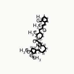 CCc1ccccc1/C=C(\C)C(=O)CC1CCCN(C(=O)c2cc3n(n2)/C(c2ccc(OC)c(OC)c2)=C\C=C/CC3)C[C@@H]1C